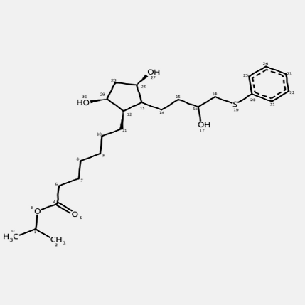 CC(C)OC(=O)CCCCCC[C@@H]1C(CCC(O)CSc2ccccc2)[C@H](O)C[C@@H]1O